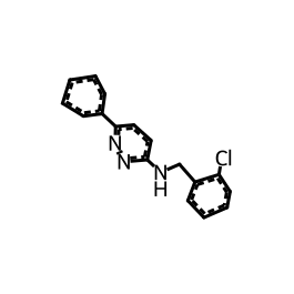 Clc1ccccc1CNc1ccc(-c2ccccc2)nn1